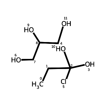 CCC(O)(O)Cl.OCC(O)CO